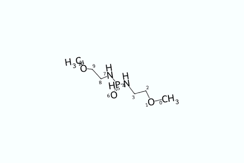 COCCN[PH](=O)NCCOC